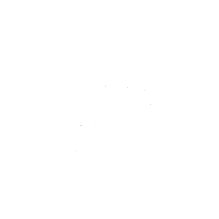 CC(=O)Oc1c(CCl)cccc1C(=O)Oc1ccccc1